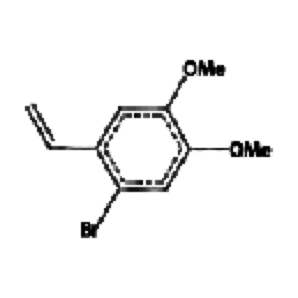 C=Cc1cc(OC)c(OC)cc1Br